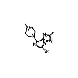 Cc1nc2c(N3CCN(C)CC3)ncc(Br)n2n1